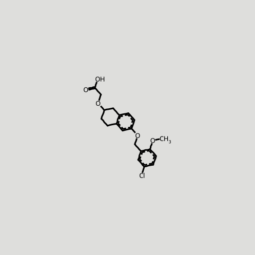 COc1ccc(Cl)cc1COc1ccc2c(c1)CCC(OCC(=O)O)C2